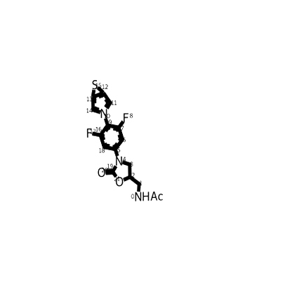 CC(=O)NCC1CN(c2cc(F)c(-n3cc4c(c3)S4)c(F)c2)C(=O)O1